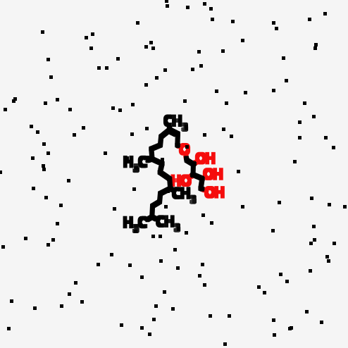 CC(=CCOCC(O)C(O)C(O)CO)CCCC(C)CCCC(C)CCCC(C)C